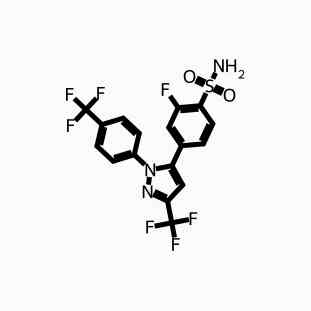 NS(=O)(=O)c1ccc(-c2cc(C(F)(F)F)nn2-c2ccc(C(F)(F)F)cc2)cc1F